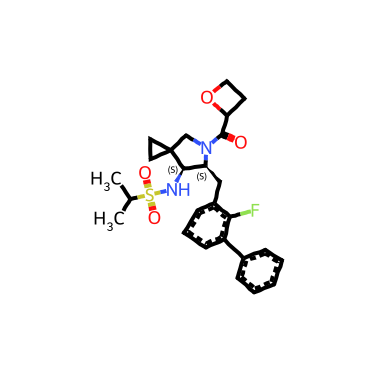 CC(C)S(=O)(=O)N[C@@H]1[C@H](Cc2cccc(-c3ccccc3)c2F)N(C(=O)C2CCO2)CC12CC2